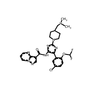 CN(C)CC1CCN(c2nc(-c3cc(Cl)ccc3OC(F)F)c(NC(=O)c3cnn4cccnc34)s2)CC1